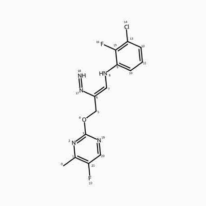 Cc1nc(OC/C(=C/Nc2cccc(Cl)c2F)N=N)ncc1F